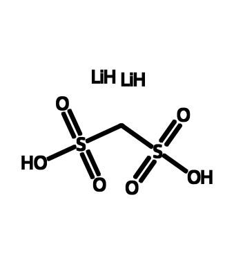 O=S(=O)(O)CS(=O)(=O)O.[LiH].[LiH]